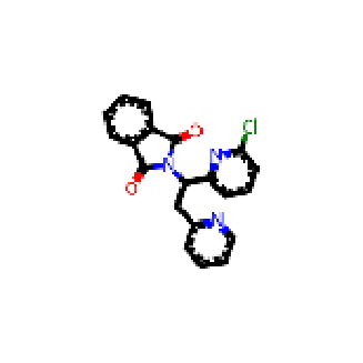 O=C1c2ccccc2C(=O)N1C(Cc1ccccn1)c1cccc(Cl)n1